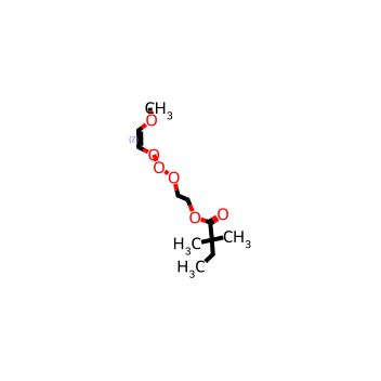 CCC(C)(C)C(=O)OCCOOO/C=C\OC